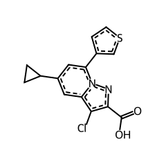 O=C(O)c1nn2c(-c3ccsc3)cc(C3CC3)cc2c1Cl